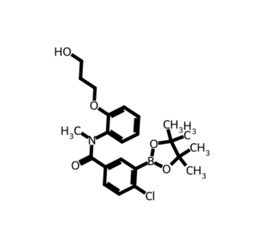 CN(C(=O)c1ccc(Cl)c(B2OC(C)(C)C(C)(C)O2)c1)c1ccccc1OCCCO